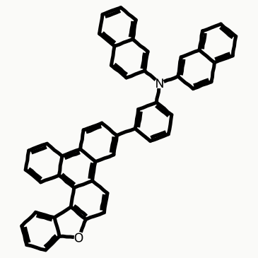 c1cc(-c2ccc3c4ccccc4c4c(ccc5oc6ccccc6c54)c3c2)cc(N(c2ccc3ccccc3c2)c2ccc3ccccc3c2)c1